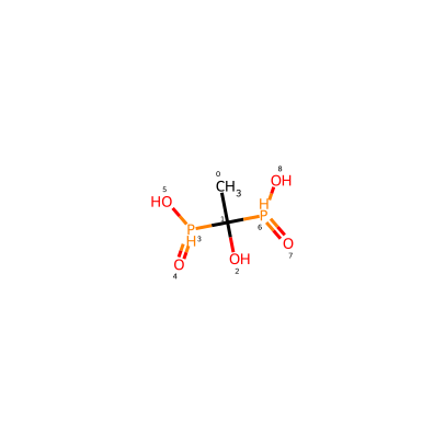 CC(O)([PH](=O)O)[PH](=O)O